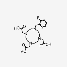 O=C(O)CN1CCN(CC(=O)O)CCN(Cc2ncccc2F)CCN(CC(=O)O)CC1